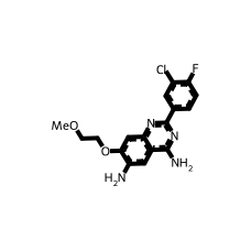 COCCOc1cc2nc(-c3ccc(F)c(Cl)c3)nc(N)c2cc1N